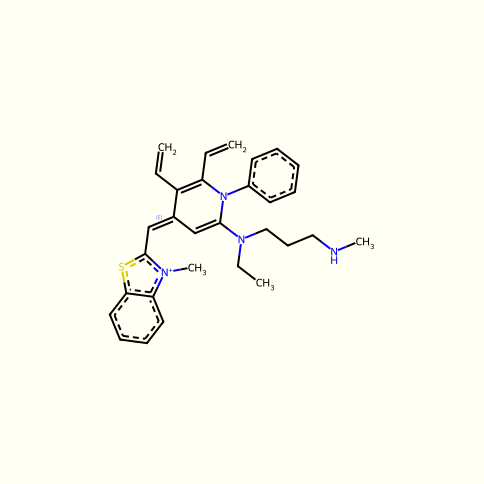 C=CC1=C(C=C)N(c2ccccc2)C(N(CC)CCCNC)=C/C1=C\c1sc2ccccc2[n+]1C